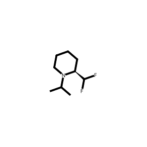 CC(C)N1CCCC[C@H]1C(F)F